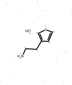 Cl.NCCc1ccsc1